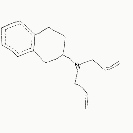 C=CCN(CC=C)C1CCc2ccccc2C1